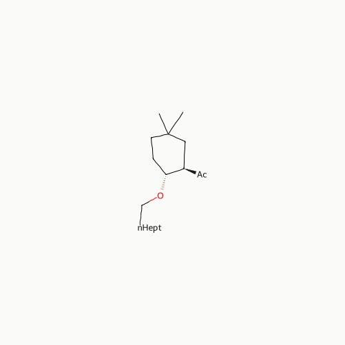 CCCCCCCCO[C@@H]1CCC(C)(C)C[C@H]1C(C)=O